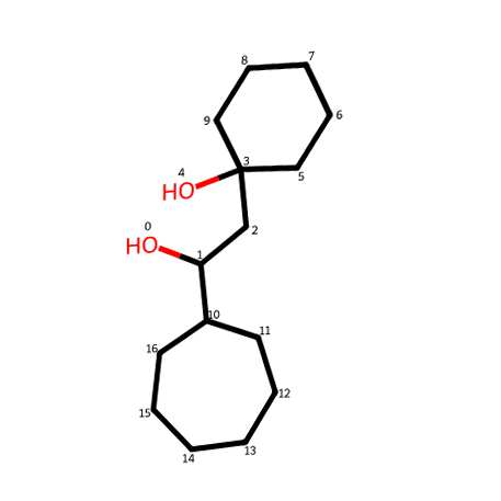 OC(CC1(O)CCCCC1)C1CCCCCC1